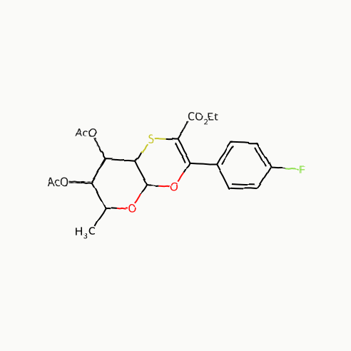 CCOC(=O)C1=C(c2ccc(F)cc2)OC2OC(C)C(OC(C)=O)C(OC(C)=O)C2S1